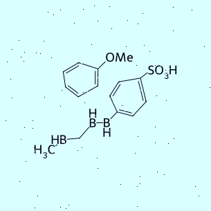 CBCBBc1ccc(S(=O)(=O)O)cc1.COc1ccccc1